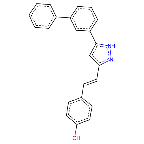 Oc1ccc(/C=C/c2cc(-c3cccc(-c4ccccc4)c3)[nH]n2)cc1